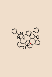 c1ccc(-c2ccc(-c3nc(-c4ccccc4)nc(-c4cccc5oc6ccc(-c7cccc8oc9cccc(-c%10ccccc%10)c9c78)cc6c45)n3)cc2)cc1